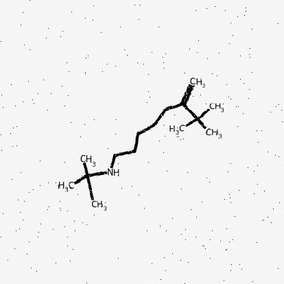 C=C(CCCCCNC(C)(C)C)C(C)(C)C